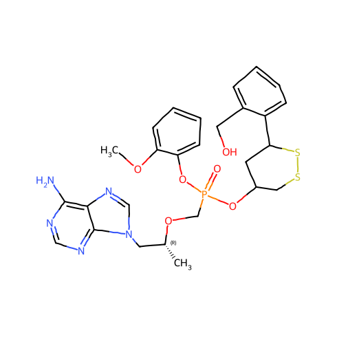 COc1ccccc1OP(=O)(CO[C@H](C)Cn1cnc2c(N)ncnc21)OC1CSSC(c2ccccc2CO)C1